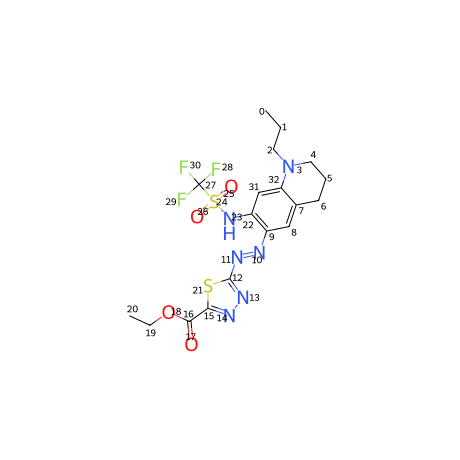 CCCN1CCCc2cc(N=Nc3nnc(C(=O)OCC)s3)c(NS(=O)(=O)C(F)(F)F)cc21